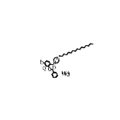 CCCCCCCCCCCCCCCCN1CCN(Cc2ccc(OC)c(OC)c2OC(=O)c2ccccc2)CC1.Cl.Cl